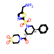 NCc1cnc(S(=O)(=O)N2C[C@@H](C(=O)N3CCS(=O)(=O)CC3)C[C@H](c3ccccc3)C2)s1